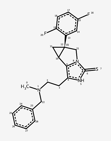 CN(CCc1[nH]c(=S)n2c1C1C[C@]1(c1cc(F)ccc1F)C2)Cc1ccccc1